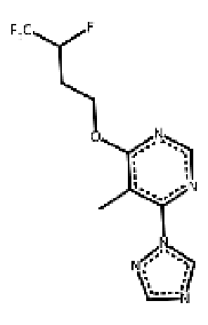 Cc1c(OCCC(F)C(F)(F)F)ncnc1-n1cncn1